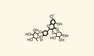 COc1cc(O)c2c(=O)c(OC3OCC(O)C(O)C3O)c(-c3ccc(O)c(OC4OC(C)C(O)C(O)C4O)c3)oc2c1